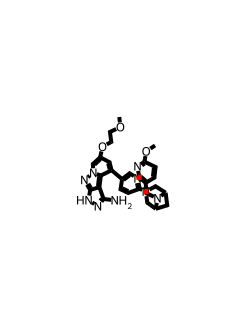 COCCOc1cc(-c2ccc(N3CC4CC(C3)N4Cc3ccc(OC)nc3)nc2)c2c3c(N)n[nH]c3nn2c1